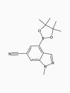 Cn1ncc2c(B3OC(C)(C)C(C)(C)O3)cc(C#N)cc21